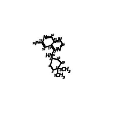 CC1(C)CCC(Nc2ncnc3cnc(F)cc23)CC1